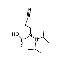 CC(C)N(C(C)C)N(CCC#N)P(O)Cl